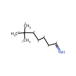 CC(C)(C)CCCCC=N